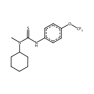 CN(C(=S)Nc1ccc(OC(F)(F)F)cc1)C1CCCCC1